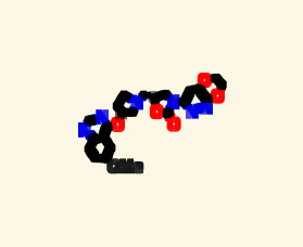 COc1ccc2ncnc(O[C@H]3CCN(C[C@@H]4CN(c5cc6c(nn5)OCCO6)C(=O)O4)C3)c2c1